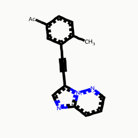 CC(=O)c1ccc(C)c(C#Cc2cnc3cccnn23)c1